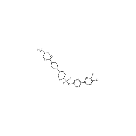 CC1COC(C2CCC(C3CCC(C(F)(F)Oc4ccc(-c5ccc(Cl)c(F)c5)cc4)CC3)CC2)OC1